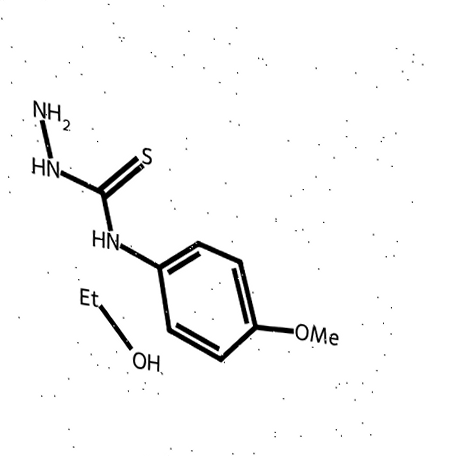 CCO.COc1ccc(NC(=S)NN)cc1